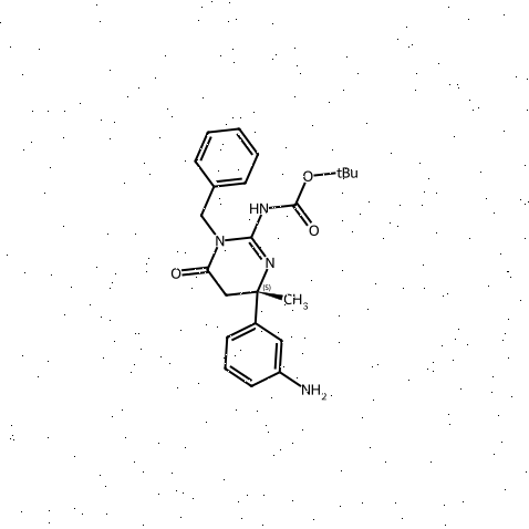 CC(C)(C)OC(=O)NC1=N[C@](C)(c2cccc(N)c2)CC(=O)N1Cc1ccccc1